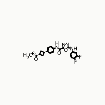 COC(=O)[C@H]1C[C@@H](c2ccc(NC(=O)c3nnc(Nc4ccc(F)c(F)c4)o3)cc2)C1